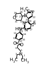 CCN(CC)CCS(=O)(=O)c1ccc(Nc2ncc(F)c(-c3cnc(C)n3C3CCOCC3)n2)cc1